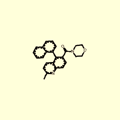 Cc1ccc2c(-c3cccc4ccccc34)c(C(=O)N3CCOCC3)ccc2n1